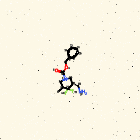 CC1CN(C(=O)OCc2ccccc2)C[C@H](CN)C1(F)F